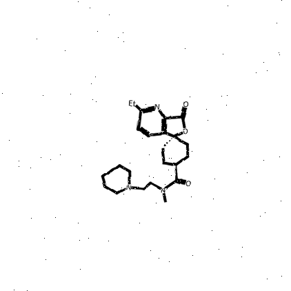 CCc1ccc2c(n1)C(=O)O[C@]21CC[C@H](C(=O)N(C)CCN2CCCCC2)CC1